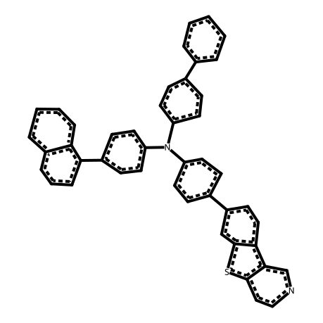 c1ccc(-c2ccc(N(c3ccc(-c4ccc5c(c4)sc4ccncc45)cc3)c3ccc(-c4cccc5ccccc45)cc3)cc2)cc1